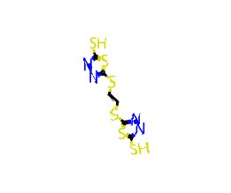 Sc1nnc(SCCSc2nnc(S)s2)s1